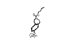 CCCCOC(=O)N1CCc2ccc(OS(=O)(=O)C(F)(F)F)cc2CC1